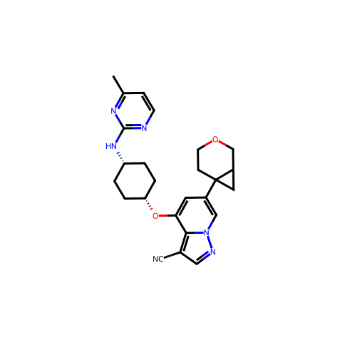 Cc1ccnc(N[C@H]2CC[C@@H](Oc3cc(C45CCOCC4C5)cn4ncc(C#N)c34)CC2)n1